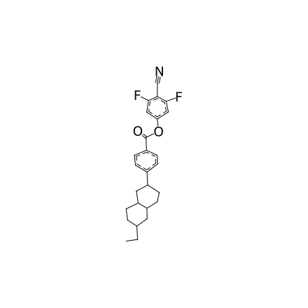 CCC1CCC2CC(c3ccc(C(=O)Oc4cc(F)c(C#N)c(F)c4)cc3)CCC2C1